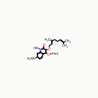 CCCCCCOc1c(OC/C=C(\C)CCC=C(C)C)c(=O)n(CCCC)c2cc(NC(C)=O)ccc12